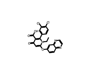 CCn1c(Oc2ccc3nccnc3c2)cc(=O)c(C(=O)O)c1-c1ccc(Cl)c(Cl)c1